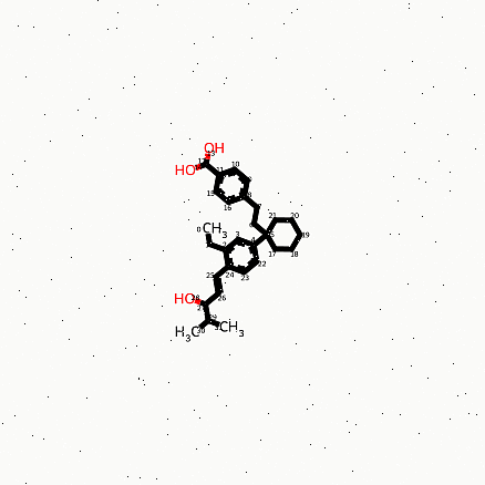 CCc1cc(C2(CCc3ccc(C(O)O)cc3)CCCCC2)ccc1C=CC(O)C(C)C